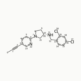 CC#Cc1ccc(N2CC[C@H](NCc3ccc(Cl)cc3Cl)C2)nc1